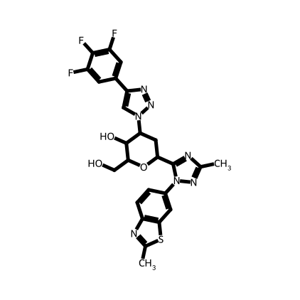 Cc1nc(C2CC(n3cc(-c4cc(F)c(F)c(F)c4)nn3)C(O)C(CO)O2)n(-c2ccc3nc(C)sc3c2)n1